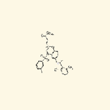 COC(=O)CC[C@H]1CN(S(=O)(=O)c2cccc(C)c2)c2cc(/C=C(\C)c3c(Cl)cccc3C(F)(F)F)ccc2O1